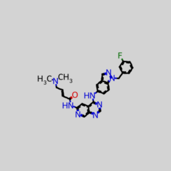 CN(C)CC=CC(=O)Nc1cc2c(Nc3ccc4c(cnn4Cc4cccc(F)c4)c3)ncnc2cn1